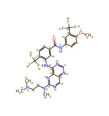 COc1ccc(NC(=O)c2ccc(C(F)(F)F)c(Nc3ncnc4cnc(N(C)CCN(C)C)nc34)c2)cc1C(F)(F)F